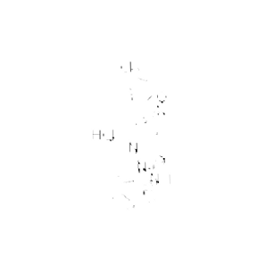 CC(N1CCC(c2noc3cc(Cl)ccc23)CC1)n1c(=O)[nH]c2ccccc21.Cl